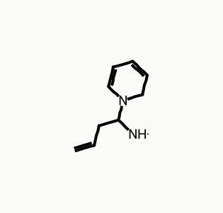 C=CCC([NH])N1C=CC=CC1